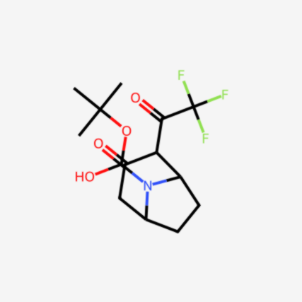 CC(C)(C)OC(O)N1C2CCC1C(C(=O)C(F)(F)F)C(=O)C2